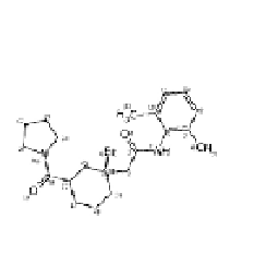 CC[N+]1(CC(=O)Nc2c(C)cccc2C)CCCC(C(=O)N2CCCC2)C1